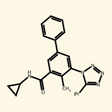 Cc1c(C(=O)NC2CC2)cc(-c2ccccc2)cc1-n1nnnc1C(C)C